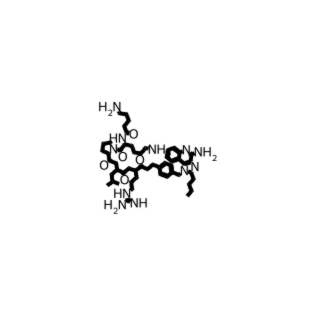 CCCCc1nc2c(N)nc3ccccc3c2n1Cc1ccc(CCC(=O)C(CCCNC(=N)N)CC(=O)C(CC(=O)C2CCCN2C(=O)C(CCCCN)NC(=O)CCCCN)CC(C)C)cc1